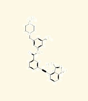 CN1CCN(Cc2cc(NC(=O)c3cccc(C#Cc4cccc5[nH]nc(N)c45)c3)cc(C(F)(F)F)c2)CC1